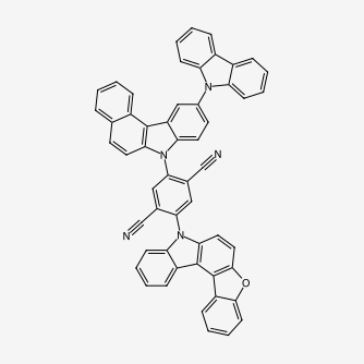 N#Cc1cc(-n2c3ccccc3c3c4c(ccc32)oc2ccccc24)c(C#N)cc1-n1c2ccc(-n3c4ccccc4c4ccccc43)cc2c2c3ccccc3ccc21